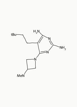 CNC1CN(c2nc(N)nc(N)c2CCC(C)(C)C)C1